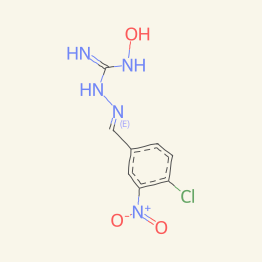 N=C(NO)N/N=C/c1ccc(Cl)c([N+](=O)[O-])c1